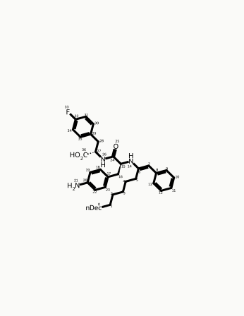 CCCCCCCCCCCCCCC/C(=C\c1ccccc1)N[C@@H](Cc1ccc(N)cc1)C(=O)N[C@@H](Cc1ccc(F)cc1)C(=O)O